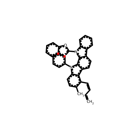 C=C/C=C\c1c(C)ccc2c1c1ccc3c4ccccc4n(-c4nc5ccccc5o4)c3c1n2-c1ccccc1